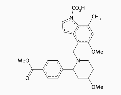 COC(=O)c1ccc(C2CC(OC)CCN2Cc2c(OC)cc(C)c3c2ccn3C(=O)O)cc1